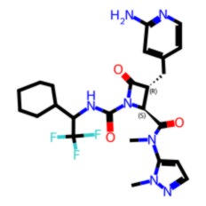 CN(C(=O)[C@@H]1[C@@H](Cc2ccnc(N)c2)C(=O)N1C(=O)NC(C1CCCCC1)C(F)(F)F)c1ccnn1C